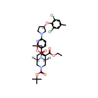 CCOC(=O)C1=C(c2ccc(N3CC[C@@H](Oc4c(Cl)cc(C)cc4Cl)C3)nc2)C[C@H]2CN(C(=O)OC(C)(C)C)C[C@@H]1N2C(=O)OC(C)(C)C